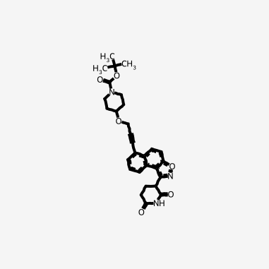 CC(C)(C)OC(=O)N1CCC(OCC#Cc2cccc3c2ccc2onc(C4CCC(=O)NC4=O)c23)CC1